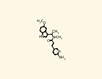 COc1ccc2[nH]cc(C(C)N(C)C(=O)C=Cc3ccc(N)nc3)c2c1